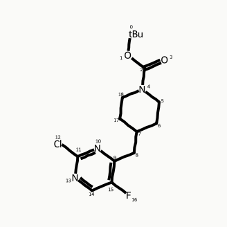 CC(C)(C)OC(=O)N1CCC(Cc2nc(Cl)ncc2F)CC1